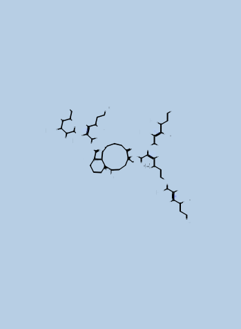 C=C1CCCCC2[C@](C)(C(=O)OC(O)/C(OC3OC(CO)C(O)C(O)C3O)=C(/O)C(O)CCO)CCC[C@@]2(C)[C@@H](CC)CCC1(I)OC(O)/C(OC(O)/C(O)=C(\O)C(O)CCO)=C(/O)C(O)CCOC(O)/C(O)=C(\O)C(O)CCO